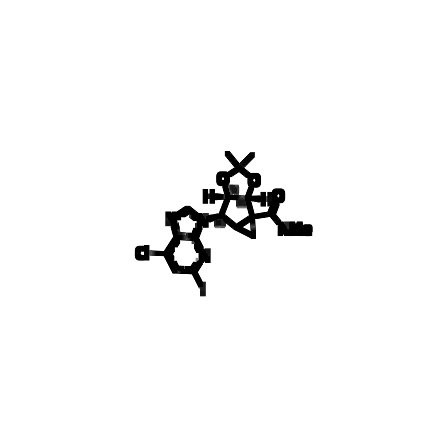 CNC(=O)C12CC1[C@@H](n1cnc3c(Cl)cc(I)nc31)[C@@H]1OC(C)(C)O[C@@H]12